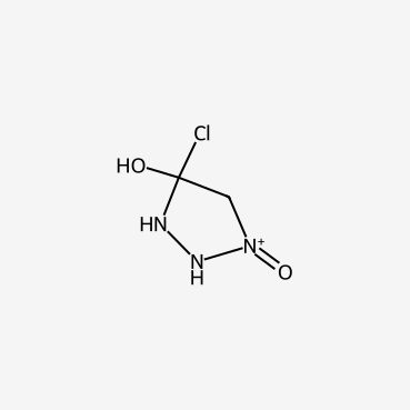 O=[N+]1CC(O)(Cl)NN1